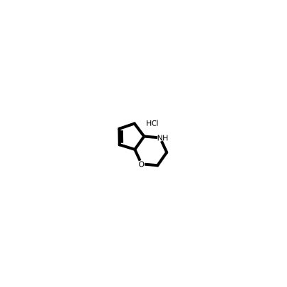 C1=CC2OCCNC2C1.Cl